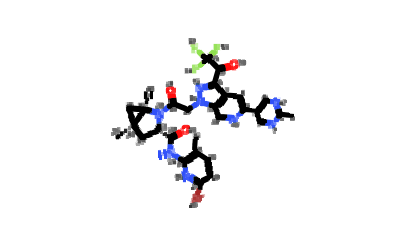 Cc1ncc(-c2cc3c(C(=O)C(F)(F)F)nn(CC(=O)N4[C@H](C(=O)Nc5nc(Br)ccc5C)C[C@@]5(C)C[C@@H]45)c3cn2)cn1